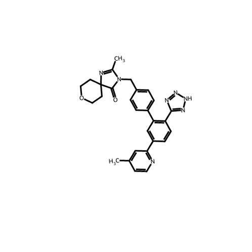 CC1=NC2(CCOCC2)C(=O)N1Cc1ccc(-c2cc(-c3cc(C)ccn3)ccc2-c2nn[nH]n2)cc1